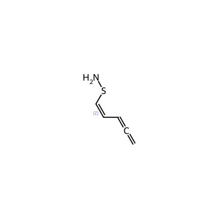 C=C=C/C=C\SN